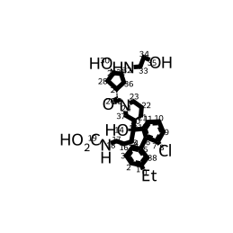 CCc1cccc(-c2c(Cl)cccc2[C@](O)(CCCNC(=O)O)[C@@H]2CCCN(C(=O)[C@@H]3C[C@H](O)[C@H](NCCO)C3)C2)c1